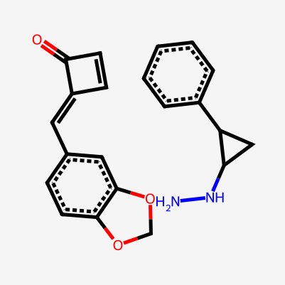 NNC1CC1c1ccccc1.O=C1C=CC1=Cc1ccc2c(c1)OCO2